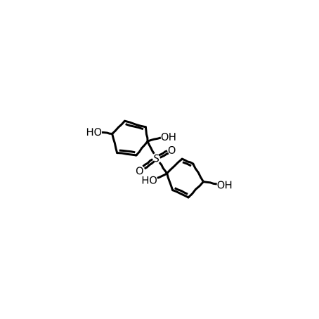 O=S(=O)(C1(O)C=CC(O)C=C1)C1(O)C=CC(O)C=C1